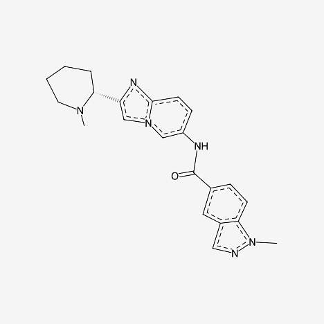 CN1CCCC[C@@H]1c1cn2cc(NC(=O)c3ccc4c(cnn4C)c3)ccc2n1